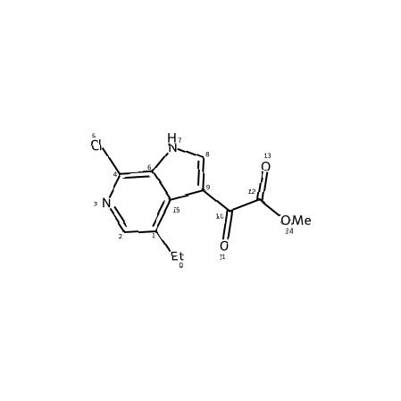 CCc1cnc(Cl)c2[nH]cc(C(=O)C(=O)OC)c12